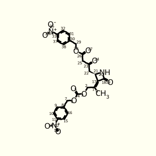 C/C(COC(=O)OCc1ccc([N+](=O)[O-])cc1)=C1\C(=O)N[C@@H]1CC(=O)CC(=O)OCc1ccc([N+](=O)[O-])cc1